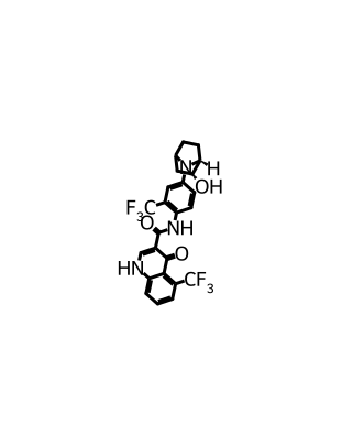 O=C(Nc1ccc(N2C3CC[C@@H]2[C@@H](O)C3)cc1C(F)(F)F)c1c[nH]c2cccc(C(F)(F)F)c2c1=O